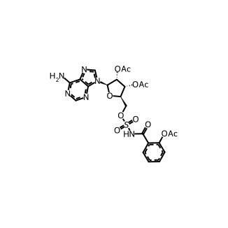 CC(=O)Oc1ccccc1C(=O)NS(=O)(=O)OC[C@H]1O[C@@H](n2cnc3c(N)ncnc32)[C@H](OC(C)=O)[C@@H]1OC(C)=O